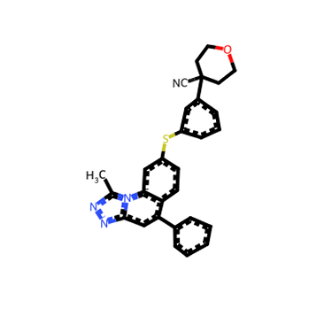 Cc1nnc2cc(-c3ccccc3)c3ccc(Sc4cccc(C5(C#N)CCOCC5)c4)cc3n12